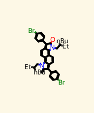 C=c1c(-c2ccc(Br)cc2)c2ccc3c4c(ccc3c2n1CC(CC)CCCC)=C(c1ccc(Br)cc1)C(=O)N4CC(CC)CCCC